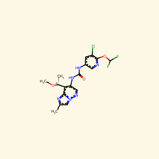 CO[C@H](C)c1c(NC(=O)Nc2cnc(OC(F)F)c(Cl)c2)cnn2cc(C)nc12